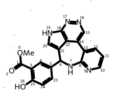 COC(=O)c1cc(C2Nc3ncccc3-c3cnnc4[nH]cc2c34)ccc1O